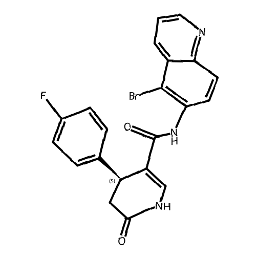 O=C1C[C@@H](c2ccc(F)cc2)C(C(=O)Nc2ccc3ncccc3c2Br)=CN1